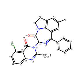 Cc1cc2c3c(c1)C(c1ccccc1)=NC(n1c(C(=O)O)nc4cccc(Cl)c4c1=O)C(=O)N3CC2